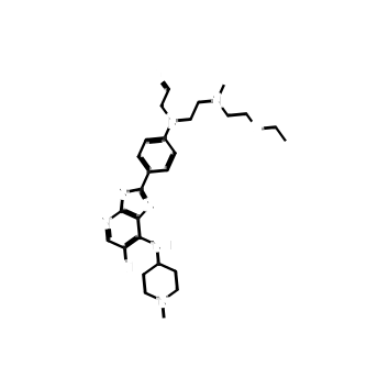 CCOCCN(C)CCN(CC=O)c1ccc(-c2nc3c(NC4CCN(C)CC4)c(Cl)cnc3[nH]2)cc1